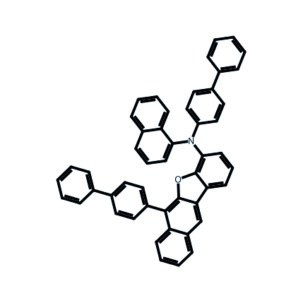 c1ccc(-c2ccc(-c3c4ccccc4cc4c3oc3c(N(c5ccc(-c6ccccc6)cc5)c5cccc6ccccc56)cccc34)cc2)cc1